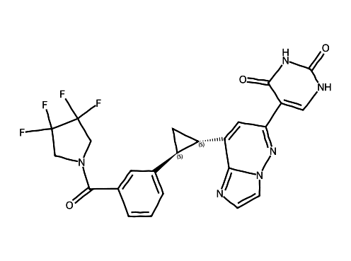 O=C(c1cccc([C@H]2C[C@@H]2c2cc(-c3c[nH]c(=O)[nH]c3=O)nn3ccnc23)c1)N1CC(F)(F)C(F)(F)C1